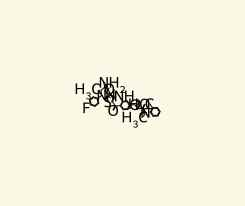 Cc1ccccc1N(C)C(=O)COc1ccc(C(=O)c2sc(N(c3ccc(F)cc3)C(C)C(N)=O)nc2N)cc1